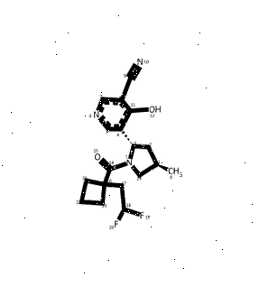 C[C@@H]1C[C@@H](c2cncc(C#N)c2O)N(C(=O)C2(CC(F)F)CCC2)C1